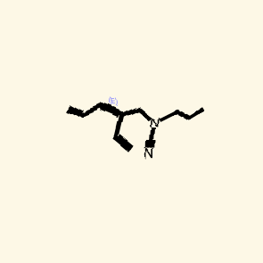 C=C/C=C(\C=C)CN(C#N)CCC